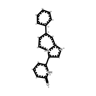 O=c1cccc(-c2cnc3cc(-c4ccccc4)ccn23)[nH]1